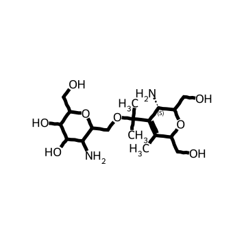 CC1=C(C(C)(C)OCC2OC(CO)C(O)C(O)C2N)[C@H](N)C(CO)OC1CO